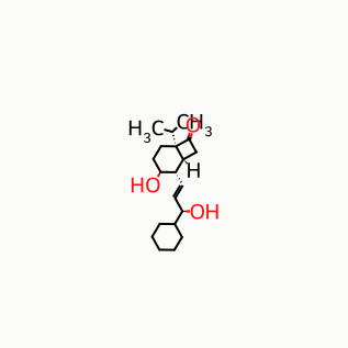 CC(C)[C@@]12CC[C@H](O)[C@@H](/C=C/[C@@H](O)C3CCCCC3)[C@@H]1CC2=O